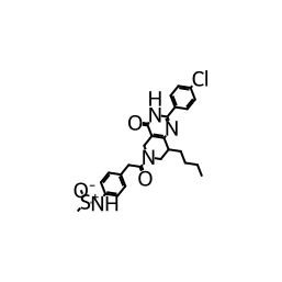 CCCCC1CN(C(=O)Cc2ccc(N[S+](C)[O-])cc2)Cc2c1nc(-c1ccc(Cl)cc1)[nH]c2=O